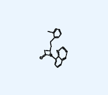 Cc1ccccc1CCC1CC(=O)N1c1cccc2cccnc12